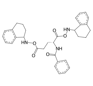 O=C(CC[C@@H](NC(=O)c1ccccc1)C(=O)ONC1CCCc2ccccc21)ONC1CCCc2ccccc21